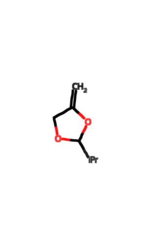 C=C1COC(C(C)C)O1